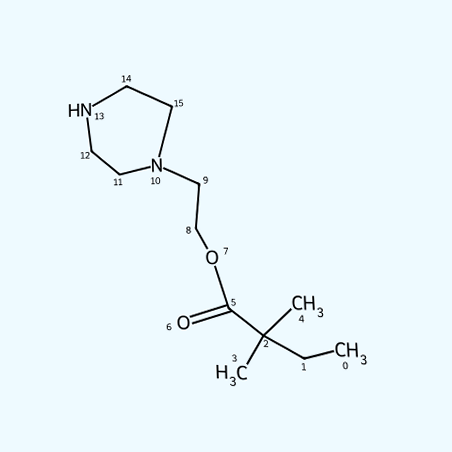 CCC(C)(C)C(=O)OCCN1CCNCC1